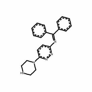 c1ccc(C(=Nc2ccc(N3CCNCC3)nn2)c2ccccc2)cc1